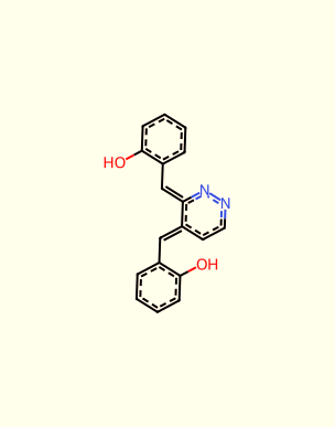 Oc1ccccc1C=c1ccnnc1=Cc1ccccc1O